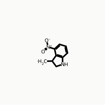 [CH2]C1CNc2cccc([N+](=O)[O-])c21